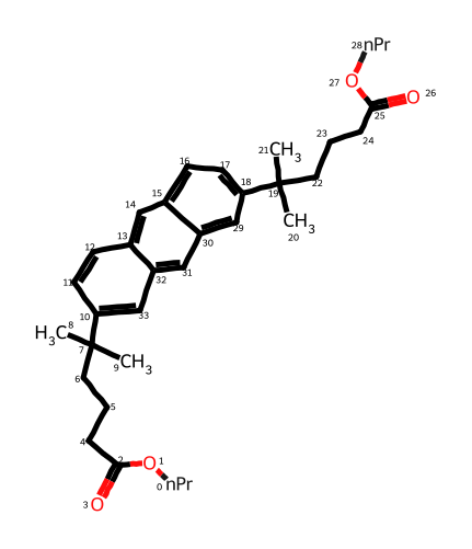 CCCOC(=O)CCCC(C)(C)c1ccc2cc3ccc(C(C)(C)CCCC(=O)OCCC)cc3cc2c1